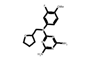 COc1ccc(N(CC2CCCO2)c2nc(N)nc(N)n2)cc1F